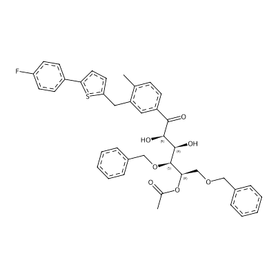 CC(=O)O[C@H](COCc1ccccc1)[C@@H](OCc1ccccc1)[C@H](O)[C@@H](O)C(=O)c1ccc(C)c(Cc2ccc(-c3ccc(F)cc3)s2)c1